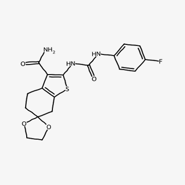 NC(=O)c1c(NC(=O)Nc2ccc(F)cc2)sc2c1CCC1(C2)OCCO1